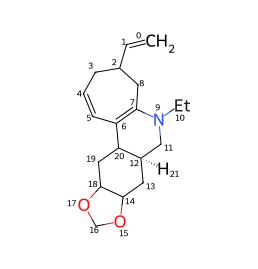 C=CC1CC=CC2=C(C1)N(CC)C[C@H]1CC3OCOC3CC21